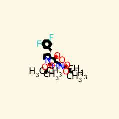 CC(C)(C)OC(=O)NC(=O)CC(=O)C1[C@@H](Cc2cc(F)cc(F)c2)CCN1C(=O)OC(C)(C)C